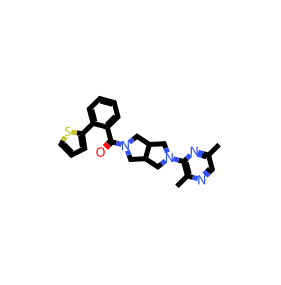 Cc1cnc(C)c(N2CC3CN(C(=O)c4ccccc4-c4cccs4)CC3C2)n1